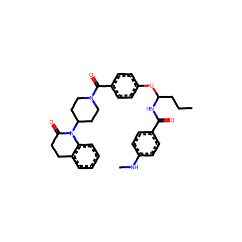 CCCC(NC(=O)c1ccc(NC)cc1)Oc1ccc(C(=O)N2CCC(N3C(=O)CCc4ccccc43)CC2)cc1